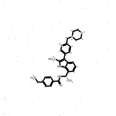 C[C@H](NC(=O)c1ccc(CN)cc1)c1cccc2c(-c3ccc(CN4CCOCC4)nc3)c(C(=O)O)[nH]c12